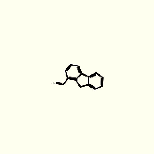 [CH]=Cc1cccc2c1Cc1ccccc1-2